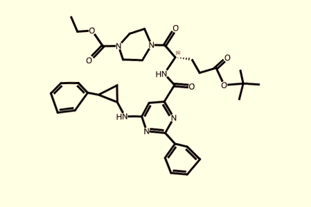 CCOC(=O)N1CCN(C(=O)[C@H](CCC(=O)OC(C)(C)C)NC(=O)c2cc(NC3CC3c3ccccc3)nc(-c3ccccc3)n2)CC1